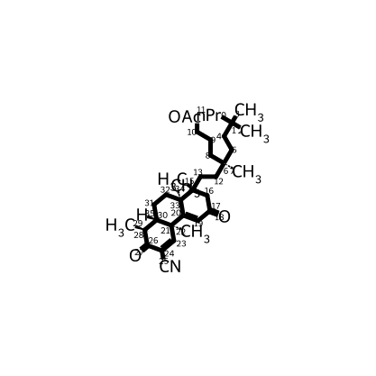 CCCC(C)(C)CC[C@](C)(CCCOC(C)=O)CC[C@]1(C)CC(=O)C=C2[C@@]3(C)C=C(C#N)C(=O)[C@@H](C)[C@@H]3CC[C@]21C